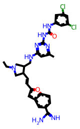 CCN1CC(C=Cc2cc3cc(C(=N)N)ccc3o2)C(CNc2cc(C)nc(NC(=O)Nc3cc(Cl)cc(Cl)c3)n2)C1